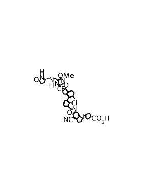 COc1nc(O[C@H]2CCC3=C(c4cccc(-c5nc6cc7c(c(C#N)c6o5)CC[C@H]7N5CC[C@@H](C(=O)O)C5)c4Cl)C(C)CC=C32)c(C(F)(F)F)nc1CNC[C@H]1CCC(=O)N1